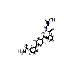 C=C(/C=C\C=C(/C)C#N)[C@@H]1CC=NN1C(=O)C1CCN(c2nccc(C(N)=O)n2)CC1